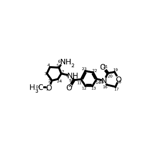 COC1CCC(N)C(NC(=O)c2ccc(N3CCOCC3=O)cc2)C1